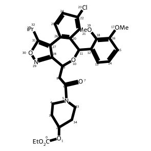 CCOC(=O)OC1CCN(C(=O)CC2OC(c3cccc(OC)c3OC)c3cc(Cl)ccc3-c3c2noc3C(C)C)CC1